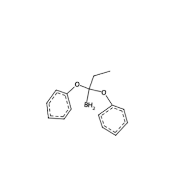 BC(CC)(Oc1ccccc1)Oc1ccccc1